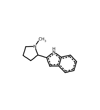 CN1CCCC1c1cc2ccccc2[nH]1